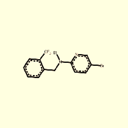 CCN(Cc1ccccc1C(F)(F)F)c1ccc(Br)cn1